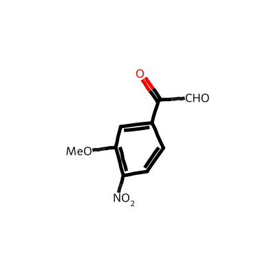 COc1cc(C(=O)C=O)ccc1[N+](=O)[O-]